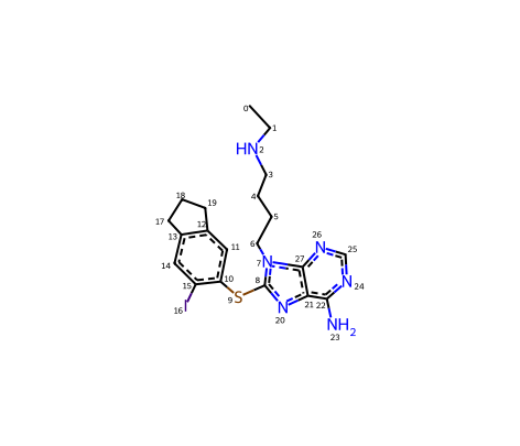 CCNCCCCn1c(Sc2cc3c(cc2I)CCC3)nc2c(N)ncnc21